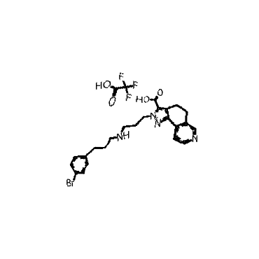 O=C(O)C(F)(F)F.O=C(O)c1c2c(nn1CCCNCCCc1ccc(Br)cc1)-c1ccncc1CC2